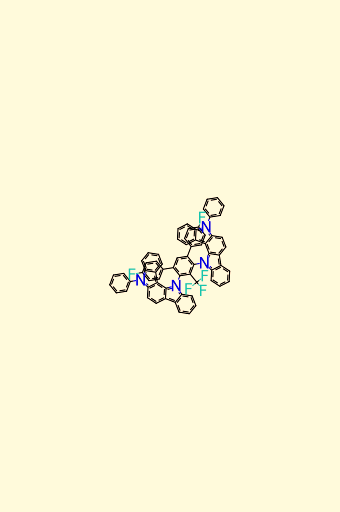 Fc1ccc(-c2cc(-c3ccc(F)cc3)c(-n3c4ccccc4c4ccc5c(c6ccccc6n5-c5ccccc5)c43)c(C(F)(F)F)c2-n2c3ccccc3c3ccc4c(c5ccccc5n4-c4ccccc4)c32)cc1